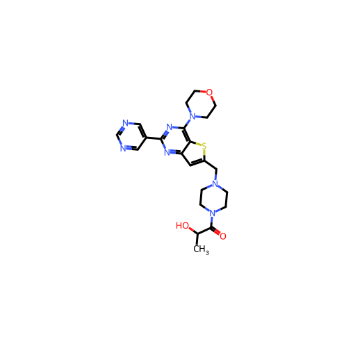 CC(O)C(=O)N1CCN(Cc2cc3nc(-c4cncnc4)nc(N4CCOCC4)c3s2)CC1